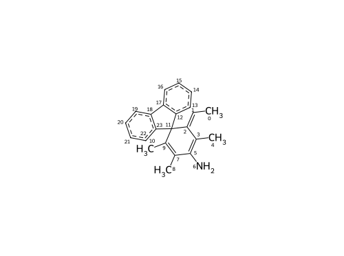 C/C=C1\C(C)=C(N)C(C)=C(C)C12c1ccccc1-c1ccccc12